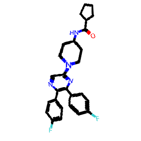 O=C(NC1CCN(c2cnc(-c3ccc(F)cc3)c(-c3ccc(F)cc3)n2)CC1)C1CCCC1